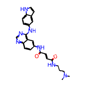 CN(C)CCCNC(=O)C=CC(=O)Nc1ccc2ncnc(Nc3ccc4[nH]ccc4c3)c2c1